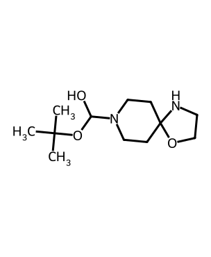 CC(C)(C)OC(O)N1CCC2(CC1)NCCO2